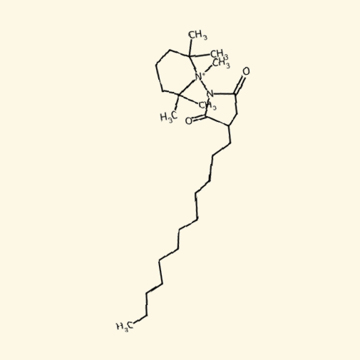 CCCCCCCCCCCCC1CC(=O)N([N+]2(C)C(C)(C)CCCC2(C)C)C1=O